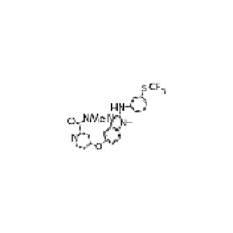 CNC(=O)c1cc(Oc2ccc3c(c2)nc(Nc2cccc(SC(F)(F)F)c2)n3C)ccn1